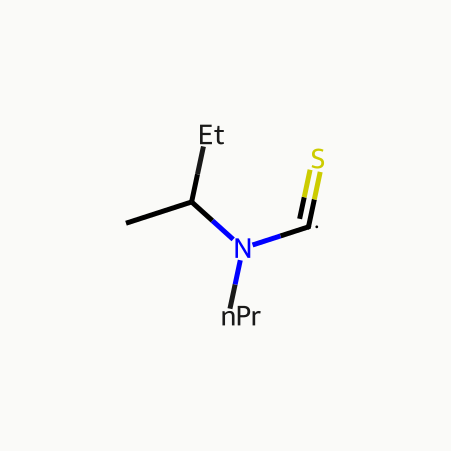 CCCN([C]=S)C(C)CC